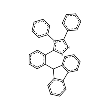 c1ccc(-c2nnc(-c3ccccc3C3c4ccccc4-c4ccccc43)n2-c2ccccc2)cc1